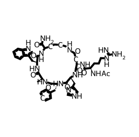 CC(=O)N[C@@H](CCCNC(=N)N)C(=O)N[C@H]1CC(=O)NCCCCC(C(N)=O)NC(=O)[C@H](Cc2c[nH]c3ccccc23)NC(=O)[C@H](C)NC(=O)[C@@H](Cc2ccccc2)NC(=O)[C@H](Cc2c[nH]cn2)NC1=O